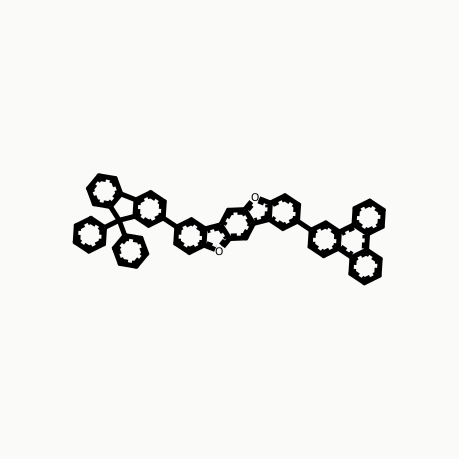 c1ccc(C2(c3ccccc3)c3ccccc3-c3ccc(-c4ccc5oc6cc7c(cc6c5c4)oc4ccc(-c5ccc6c8ccccc8c8ccccc8c6c5)cc47)cc32)cc1